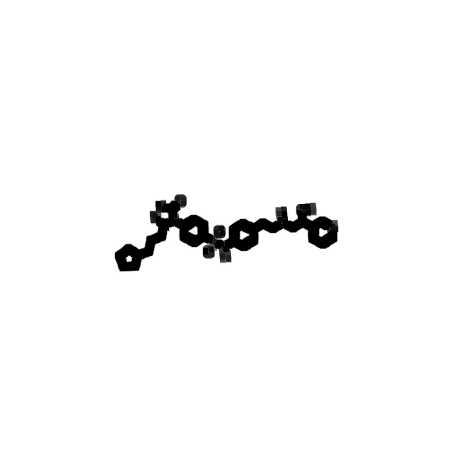 O=c1nnn(CCCC2CCCC2)n1-c1ccc(S(=O)(=O)Nc2ccc(CCNCC(O)c3cccnc3)cc2)cc1